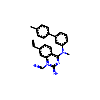 C=Cc1ccc2c(N(C)c3cccc(-c4ccc(C)cc4)c3)nc(=N)n(C=N)c2c1